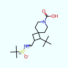 CC(C)(C)C1C(/C=N/[S@+]([O-])C(C)(C)C)CC12CCN(C(=O)O)CC2